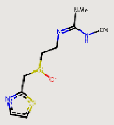 CN/C(=N/CC[S+]([O-])Cc1nccs1)NC#N